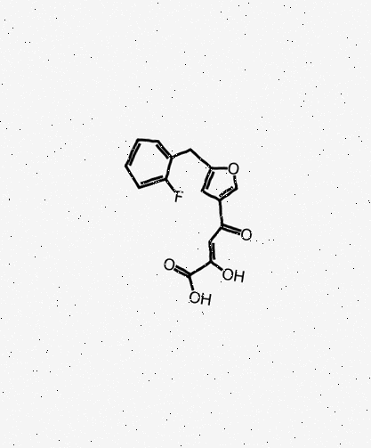 O=C(O)C(O)=CC(=O)c1coc(Cc2ccccc2F)c1